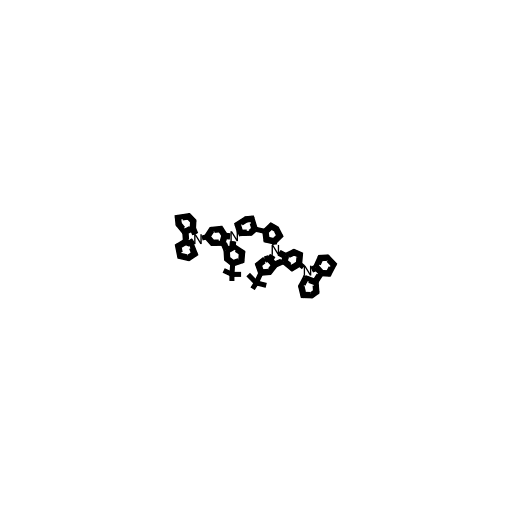 CC(C)(C)c1ccc2c(c1)c1cc(-n3c4ccccc4c4ccccc43)ccc1n2-c1cccc(-c2cccc(-n3c4ccc(-n5c6ccccc6c6ccccc65)cc4c4cc(C(C)(C)C)ccc43)c2)c1